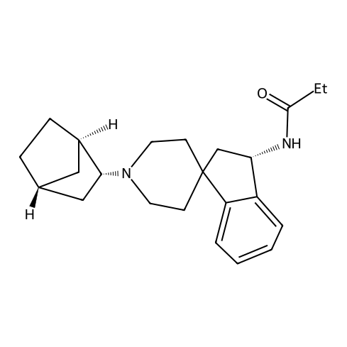 CCC(=O)N[C@H]1CC2(CCN([C@@H]3C[C@@H]4CC[C@@H]3C4)CC2)c2ccccc21